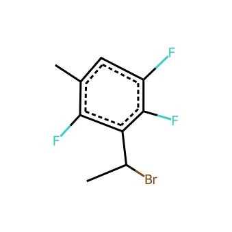 Cc1cc(F)c(F)c(C(C)Br)c1F